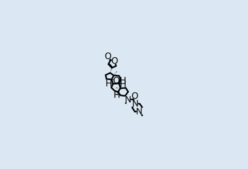 CN1CCN(C(=O)N(C)[C@H]2CC[C@@]3(C)[C@H](CC[C@@H]4[C@@H]3CC[C@]3(C)[C@@H](C5=CC(=O)OC5)CC[C@]43O)C2)CC1